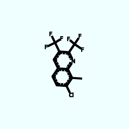 Cc1c(Cl)ccc2cc(C(F)(F)F)c(C(F)(F)F)nc12